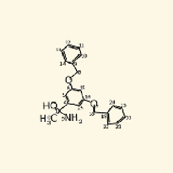 CC(N)(O)c1cc(OCc2ccccc2)cc(OCc2ccccc2)c1